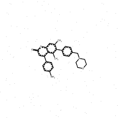 Cc1cc2oc(=O)cc(-c3ccc(N)cc3)c2c(C)c1-c1ccc(CN2CCOCC2)cc1